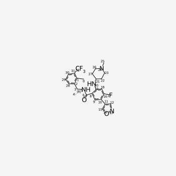 Cc1c([C@@H](C)NC(=O)c2cc(-c3cnoc3)c(F)cc2NC2CCN(C)CC2)cccc1C(F)(F)F